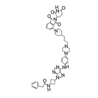 O=C1CC[C@H](N2C(=O)c3cccc(N4CCC(CCCN5CCN(c6ccc(Nc7ncnc8c7ncn8C7CC(NC(=O)Cc8ccccc8)C7)cc6)CC5)CC4)c3C2=O)C(=O)N1